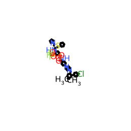 CC1(C)CCC(CN2CCN(c3ccc(C(=O)NS(=O)(=O)c4ccc(N[C@H](CCN5CCCC5)CSc5ccccc5)c(S(=O)(=O)C(F)(F)F)c4)cc3)CC2)=C(c2ccc(Cl)cc2)C1